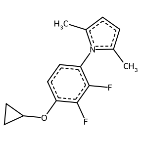 Cc1ccc(C)n1-c1ccc(OC2CC2)c(F)c1F